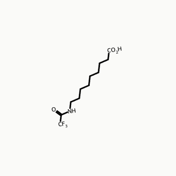 O=C(O)CCCCCCCCNC(=O)C(F)(F)F